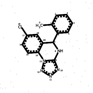 Cc1ccccc1C1Nc2nnnn2-c2ccc(Cl)cc21